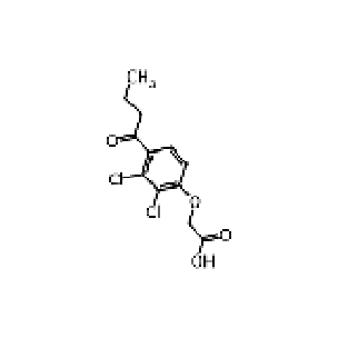 CCCC(=O)c1ccc(OCC(=O)O)c(Cl)c1Cl